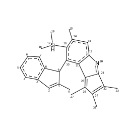 CC1=Cc2ccccc2C1c1c2c(cc(C)c1[SiH](C)C)N=C1C(C)=C(C)C(C)=C12